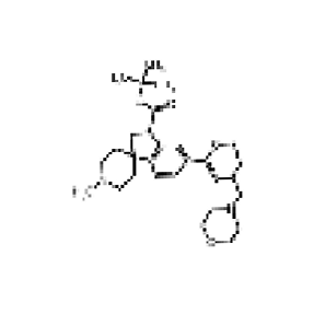 CN1CCC2(CC1)CC(C(=O)OC(C)(C)C)c1cc(C3=NC(CN4CCOCC4)CCO3)ccc12